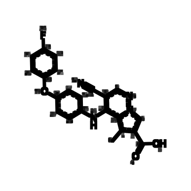 Cc1c(C(=O)O)cn2ncc(C#N)c(Nc3ccc(Oc4ccc(F)cc4)cc3)c12